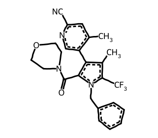 Cc1cc(C#N)ncc1-c1c(C)c(C(F)(F)F)n(Cc2ccccc2)c1C(=O)N1CCOCC1